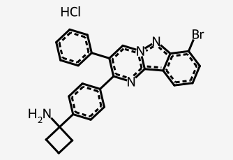 Cl.NC1(c2ccc(-c3nc4c5cccc(Br)c5nn4cc3-c3ccccc3)cc2)CCC1